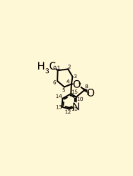 CC1CCC2(CC1)OC(=O)c1ncccc12